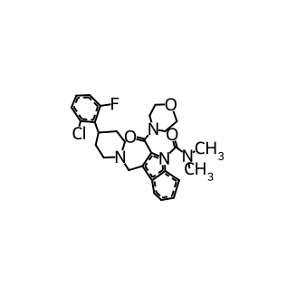 CN(C)C(=O)n1c(C(=O)N2CCOCC2)c(CN2CCC(c3c(F)cccc3Cl)CC2)c2ccccc21